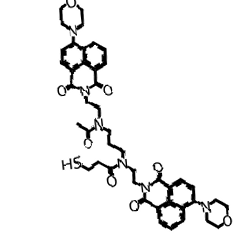 CC(=O)N(CCCN(CCN1C(=O)c2cccc3c(N4CCOCC4)ccc(c23)C1=O)C(=O)CCS)CCN1C(=O)c2cccc3c(N4CCOCC4)ccc(c23)C1=O